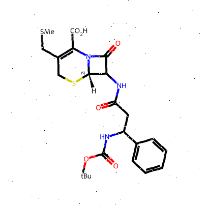 CSCC1=C(C(=O)O)N2C(=O)C(NC(=O)CC(NC(=O)OC(C)(C)C)c3ccccc3)[C@@H]2SC1